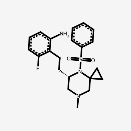 CN1C[C@H](CCc2c(N)cccc2F)N(S(=O)(=O)c2ccccc2)C2(CC2)C1